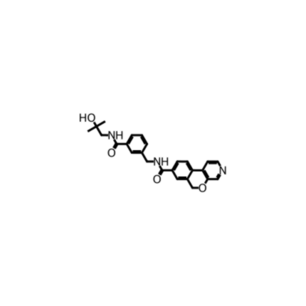 CC(C)(O)CNC(=O)c1cccc(CNC(=O)c2ccc3c(c2)COc2cnccc2-3)c1